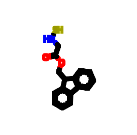 O=C(CNS)OCC1c2ccccc2-c2ccccc21